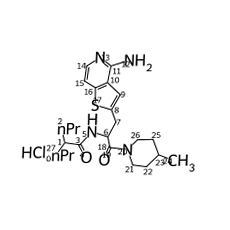 CCCC(CCC)C(=O)NC(Cc1cc2c(N)nccc2s1)C(=O)N1CCC(C)CC1.Cl